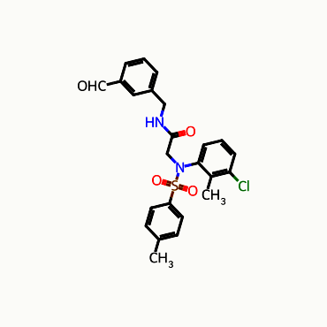 Cc1ccc(S(=O)(=O)N(CC(=O)NCc2cccc(C=O)c2)c2cccc(Cl)c2C)cc1